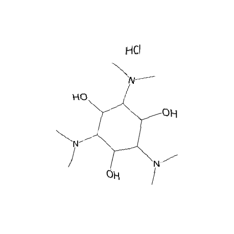 CN(C)C1C(O)C(N(C)C)C(O)C(N(C)C)C1O.Cl